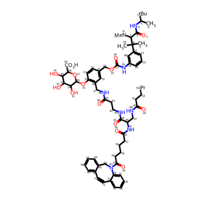 CNC(C(=O)NC(C)C(C)(C)C)C(C)(C)c1cccc(NC(=O)OCc2ccc(OC3OC(C(=O)O)C(O)C(O)C3O)c(CNC(=O)CCNC(=O)C(CNC(=O)CCC(C)C)NC(=O)CCCCC(=O)N3Cc4ccccc4C#Cc4ccccc43)c2)c1